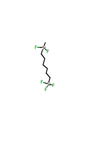 C[Si](F)(F)CCCCCC[Si](F)(F)F